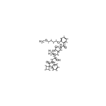 COCCCCOc1ccccc1C(=O)NC[C@@H](C[C@H](N)[C@@H](O)CNC(=O)C1(c2ccccc2)CCC1)C(C)C